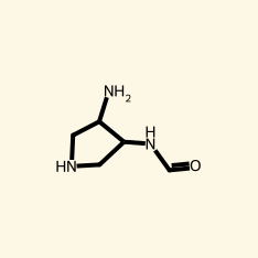 NC1CNCC1NC=O